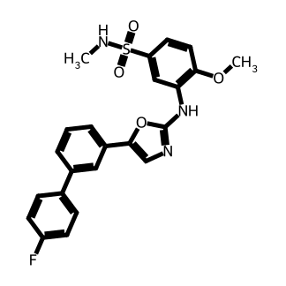 CNS(=O)(=O)c1ccc(OC)c(Nc2ncc(-c3cccc(-c4ccc(F)cc4)c3)o2)c1